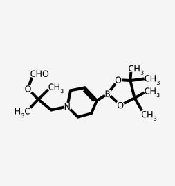 CC(C)(CN1CC=C(B2OC(C)(C)C(C)(C)O2)CC1)OC=O